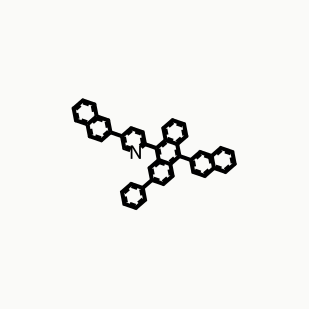 c1ccc(-c2ccc3c(-c4ccc5ccccc5c4)c4ccccc4c(-c4ccc(-c5ccc6ccccc6c5)cn4)c3c2)cc1